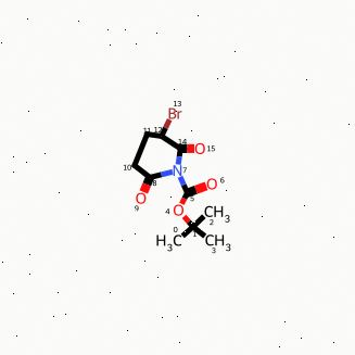 CC(C)(C)OC(=O)N1C(=O)CCC(Br)C1=O